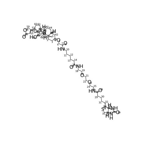 C[C@]12CC[C@H](OCC(=O)NCCCCCC(=O)NCCOCCOCCNC(=O)CCCC[C@@H]3SC[C@@H]4NC(=O)N[C@@H]43)C[C@H]1CC[C@@H]1[C@@H]2C[C@@H](O)[C@]2(C)[C@@H](C3=CC(=O)OC3)CC[C@]12O